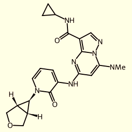 CNc1cc(Nc2cccn([C@H]3[C@@H]4COC[C@@H]43)c2=O)nc2c(C(=O)NC3CC3)cnn12